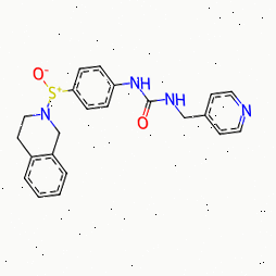 O=C(NCc1ccncc1)Nc1ccc([S+]([O-])N2CCc3ccccc3C2)cc1